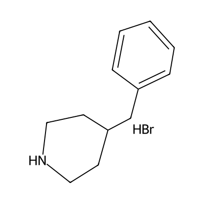 Br.c1ccc(CC2CCNCC2)cc1